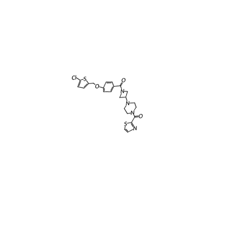 O=C(c1ccc(OCc2ccc(Cl)s2)cc1)N1CC(N2CCN(C(=O)c3nccs3)CC2)C1